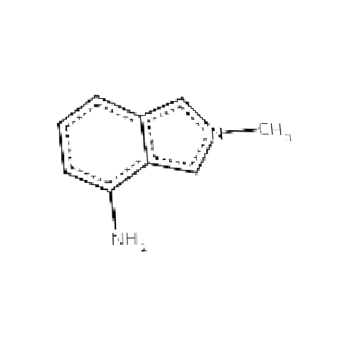 Cn1cc2cccc(N)c2c1